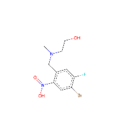 CN(CCO)Cc1cc(F)c(Br)cc1[N+](=O)O